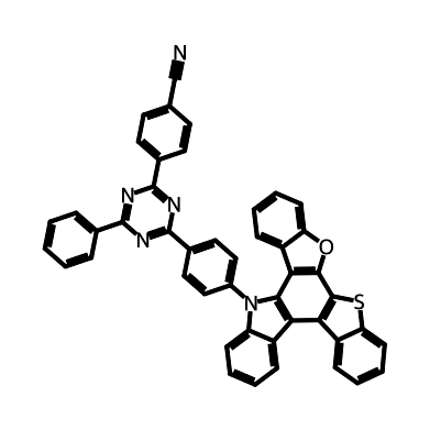 N#Cc1ccc(-c2nc(-c3ccccc3)nc(-c3ccc(-n4c5ccccc5c5c6c7ccccc7sc6c6oc7ccccc7c6c54)cc3)n2)cc1